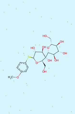 COc1ccc(S[C@@H]2O[C@H](CO)[C@](O)([C@@H]3O[C@H](CO)[C@@H](O)[C@H](O)[C@H]3O)[C@H](O)[C@H]2O)cc1